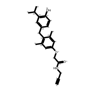 C#CCNC(=O)COc1cc(C)c(Cc2ccc(O)c(C(C)C)c2)c(C)c1